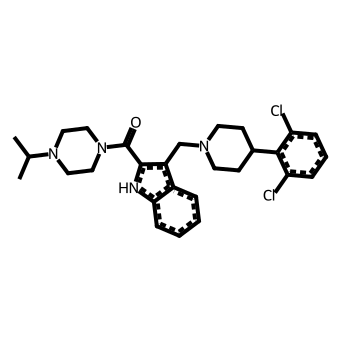 CC(C)N1CCN(C(=O)c2[nH]c3ccccc3c2CN2CCC(c3c(Cl)cccc3Cl)CC2)CC1